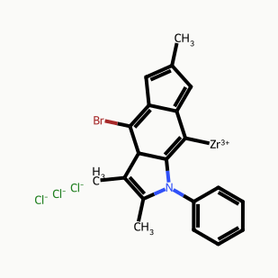 CC1=CC2=C(Br)C3C(C)=C(C)N(c4ccccc4)C3=[C]([Zr+3])C2=C1.[Cl-].[Cl-].[Cl-]